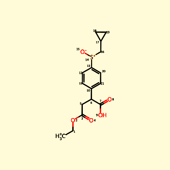 CCOC(=O)CC(C(=O)O)c1ccc([S+]([O-])CC2CC2)cc1